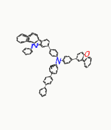 c1ccc(-c2ccc(-c3ccc(N(c4ccc(-c5ccc6oc7ccccc7c6c5)cc4)c4ccc(-c5ccc6c7ccc8ccccc8c7n(-c7ccccc7)c6c5)cc4)cc3)cc2)cc1